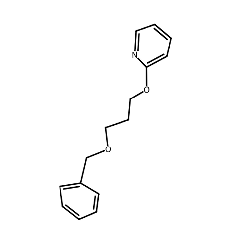 c1ccc(COCCCOc2ccccn2)cc1